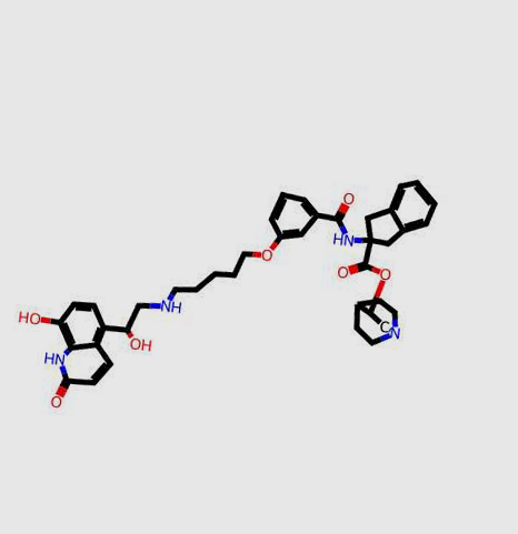 O=C(NC1(C(=O)OC2CN3CCC2CC3)Cc2ccccc2C1)c1cccc(OCCCCCNCC(O)c2ccc(O)c3[nH]c(=O)ccc23)c1